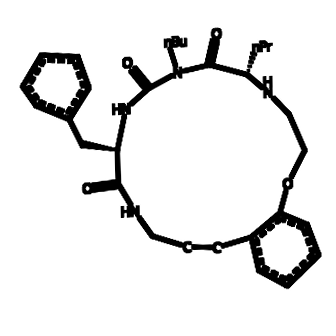 CCCCN1C(=O)N[C@H](Cc2ccccc2)C(=O)NCCCc2ccccc2OCCN[C@@H](CCC)C1=O